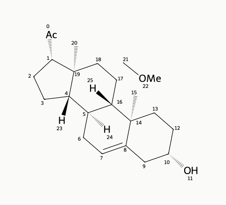 CC(=O)[C@H]1CC[C@H]2[C@@H]3CC=C4C[C@@H](O)CC[C@]4(C)[C@H]3CC[C@]12C.COC